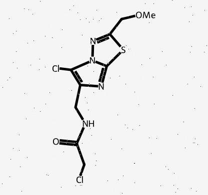 COCc1nn2c(Cl)c(CNC(=O)CCl)nc2s1